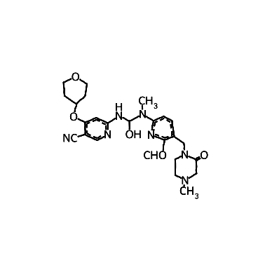 CN1CCN(Cc2ccc(N(C)C(O)Nc3cc(OC4CCOCC4)c(C#N)cn3)nc2C=O)C(=O)C1